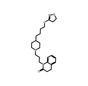 O=C1CCc2ccccc2N1CCCN1CCC(CCCCOC2=NOCC2)CC1